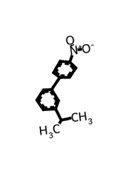 CC(C)c1cccc(-c2ccc([N+](=O)[O-])cc2)c1